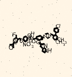 CC1(C)CCC(CN2CCN(c3ccc(C(=O)NS(=O)(=O)c4ccc(OCC5CN(C6COC6)CC5CF)c([N+](=O)[O-])c4)c(Oc4cnc5[nH]ccc5c4)c3)CC2)=C(c2ccc(Cl)cc2)C1